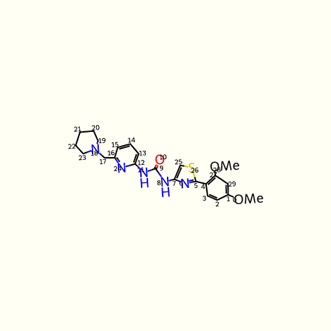 COc1ccc(-c2nc(NC(=O)Nc3cccc(CN4CCCCC4)n3)cs2)c(OC)c1